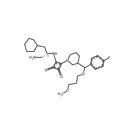 COCCCOC(c1ccc(F)cc1)C1CCCN(c2c(N[C@H](CN)CC3CCCCC3)c(=O)c2=O)C1